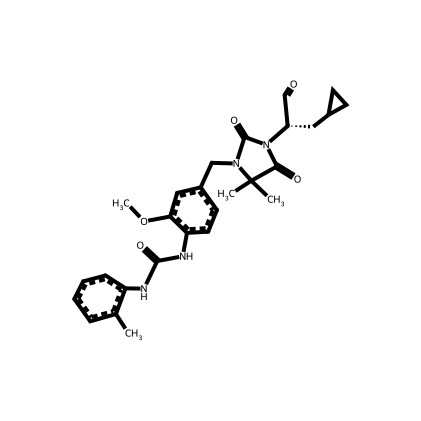 COc1cc(CN2C(=O)N([C@H](C=O)CC3CC3)C(=O)C2(C)C)ccc1NC(=O)Nc1ccccc1C